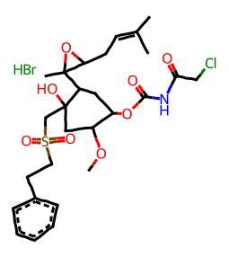 Br.COC1CC(O)(CS(=O)(=O)CCc2ccccc2)C(C2(C)OC2CC=C(C)C)CC1OC(=O)NC(=O)CCl